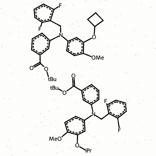 COc1ccc(N(Cc2c(F)cccc2F)c2cccc(C(=O)OC(C)(C)C)c2)cc1OC(C)C.COc1ccc(N(Cc2c(F)cccc2F)c2cccc(C(=O)OC(C)(C)C)c2)cc1OC1CCC1